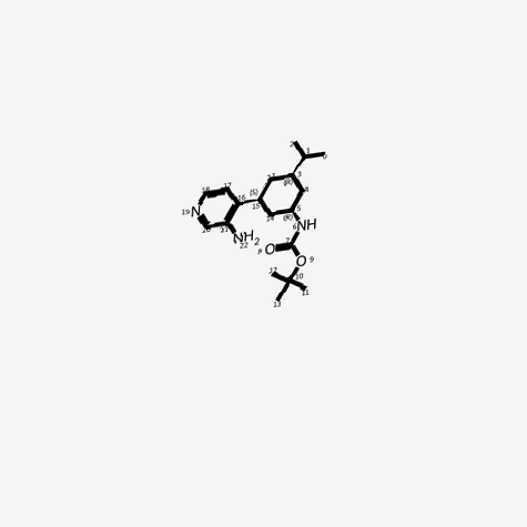 CC(C)[C@H]1C[C@@H](NC(=O)OC(C)(C)C)C[C@@H](c2ccncc2N)C1